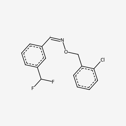 FC(F)c1cccc(/[C]=N\OCc2ccccc2Cl)c1